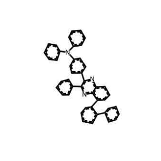 c1ccc(-c2ccccc2-c2cccc3nc(-c4ccc(N(c5ccccc5)c5ccccc5)cc4)c(-c4ccccc4)nc23)cc1